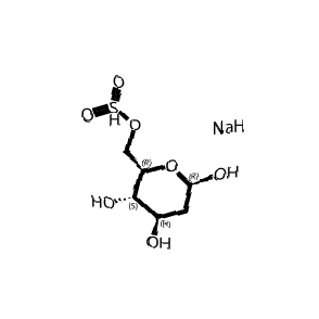 O=[SH](=O)OC[C@H]1O[C@@H](O)C[C@@H](O)[C@@H]1O.[NaH]